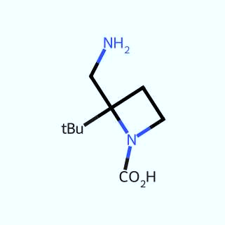 CC(C)(C)C1(CN)CCN1C(=O)O